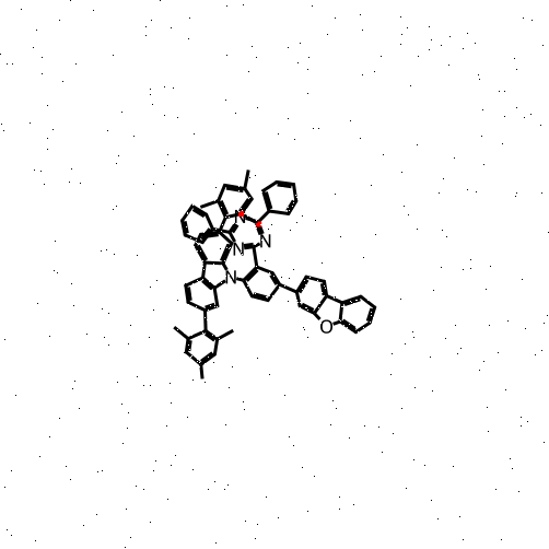 Cc1cc(C)c(-c2ccc3c4ccc(-c5c(C)cc(C)cc5C)cc4n(-c4ccc(-c5ccc6c(c5)oc5ccccc56)cc4-c4nc(-c5ccccc5)nc(-c5ccccc5)n4)c3c2)c(C)c1